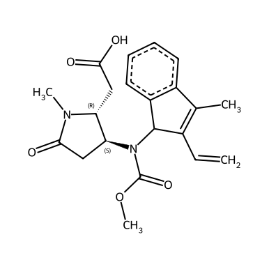 C=CC1=C(C)c2ccccc2C1N(C(=O)OC)[C@H]1CC(=O)N(C)[C@@H]1CC(=O)O